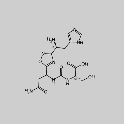 NC(=O)CC(NC(=O)N[C@@H](CO)C(=O)O)c1nc([C@@H](N)Cc2cnc[nH]2)no1